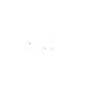 NC(=O)c1cnn(-c2nc3ccccc3s2)c1